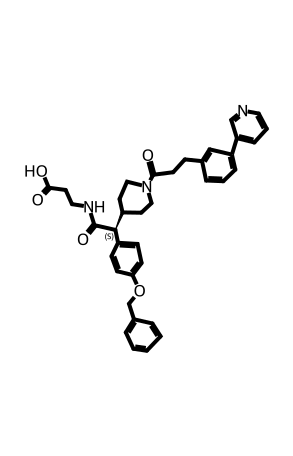 O=C(O)CCNC(=O)[C@H](c1ccc(OCc2ccccc2)cc1)C1CCN(C(=O)CCc2cccc(-c3cccnc3)c2)CC1